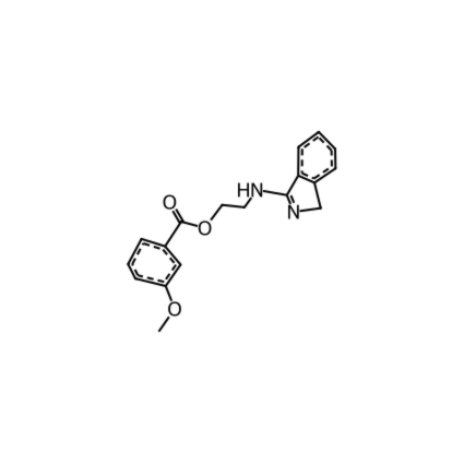 COc1cccc(C(=O)OCCNC2=NCc3ccccc32)c1